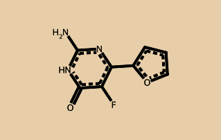 Nc1nc(-c2ccco2)c(F)c(=O)[nH]1